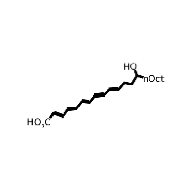 CCCCCCCCC(O)CC/C=C/C=C/C=C/C=C/C=C/C(=O)O